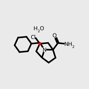 NC(=O)C12CCC(CC(Cl)C1)N2CC1CCCCC1.O